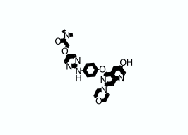 CN(C)C(=O)COc1cnc(N[C@H]2CC[C@@H](Oc3nc(N4CCOCC4)cc4ncc(O)cc34)CC2)nc1